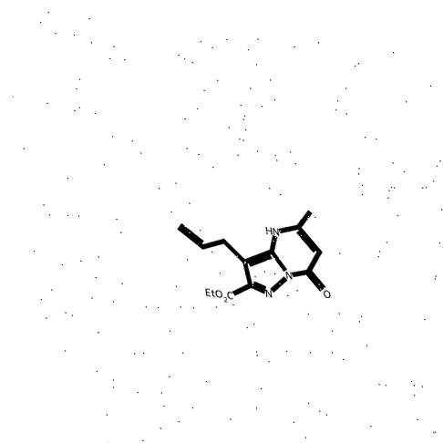 C=CCc1c(C(=O)OCC)nn2c(=O)cc(C)[nH]c12